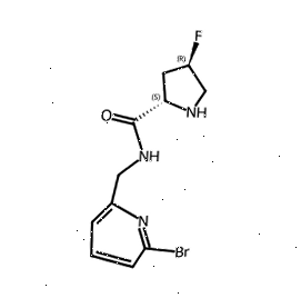 O=C(NCc1cccc(Br)n1)[C@@H]1C[C@@H](F)CN1